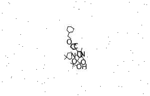 Cc1nc(C)c(C(OC(C)(C)C)C(=O)O)c(N2CCC(C)(C)CC2)c1-c1ccc(OCCC2CCCCC2)cc1